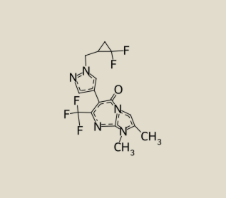 Cc1cn2c(=O)c(-c3cnn(CC4CC4(F)F)c3)c(C(F)(F)F)nc2n1C